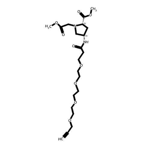 C#CCOCCOCCOCCOCCC(=O)N[C@H]1C[C@@H](C(=O)OC)N(CC(=O)OC)C1